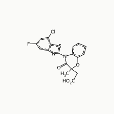 CC1(CC(=O)O)Oc2ccccc2N(c2nc3cc(F)cc(Cl)c3s2)C1=O